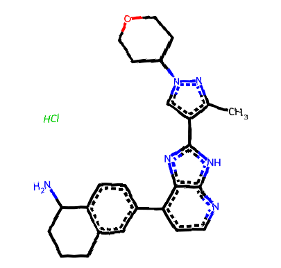 Cc1nn(C2CCOCC2)cc1-c1nc2c(-c3ccc4c(c3)CCCC4N)ccnc2[nH]1.Cl